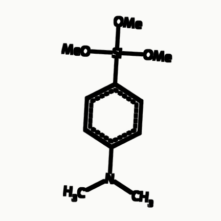 CO[Si](OC)(OC)c1ccc(N(C)C)cc1